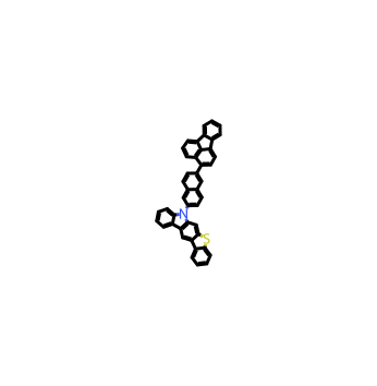 c1ccc2c(c1)-c1cccc3c(-c4ccc5cc(-n6c7ccccc7c7cc8c(cc76)sc6ccccc68)ccc5c4)ccc-2c13